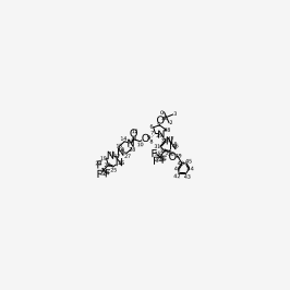 CC(C)(C)O[C@H]1C[C@@H](COCC(=O)N2CCN(c3ncc(C(F)(F)F)cn3)CC2)N(c2cc(C(F)(F)F)c(OCc3ccccc3)nn2)C1